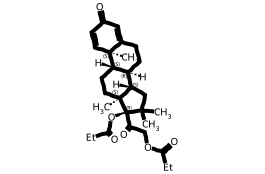 CCC(=O)OCC(=O)[C@@]1(OC(=O)CC)C(C)(C)C[C@H]2[C@@H]3CCC4=CC(=O)C=C[C@]4(C)[C@H]3CC[C@@]21C